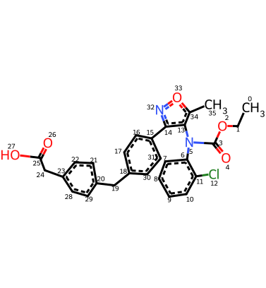 CCOC(=O)N(c1ccccc1Cl)c1c(-c2ccc(Cc3ccc(CC(=O)O)cc3)cc2)noc1C